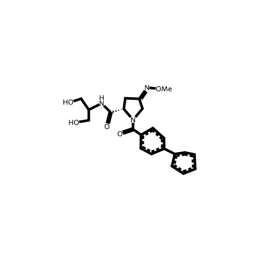 CON=C1C[C@@H](C(=O)NC(CO)CO)N(C(=O)c2ccc(-c3ccccc3)cc2)C1